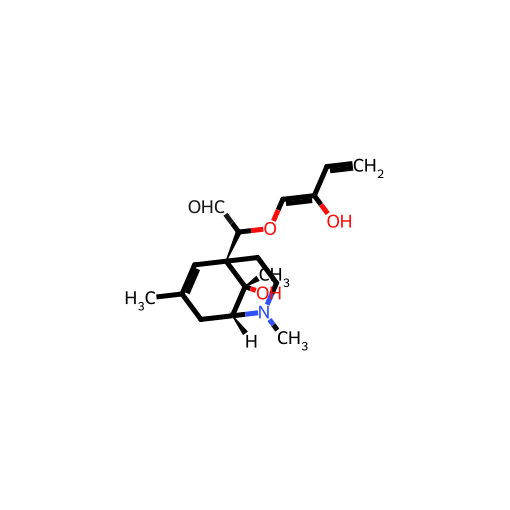 C=C/C(O)=C/OC(C=O)[C@@]12C=C(C)C[C@@H](N(C)CC1)[C@@]2(C)O